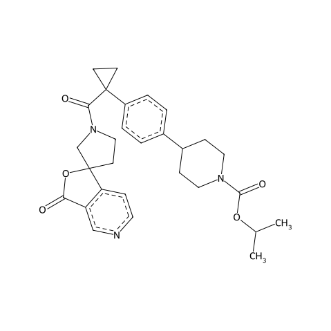 CC(C)OC(=O)N1CCC(c2ccc(C3(C(=O)N4CCC5(C4)OC(=O)c4cnccc45)CC3)cc2)CC1